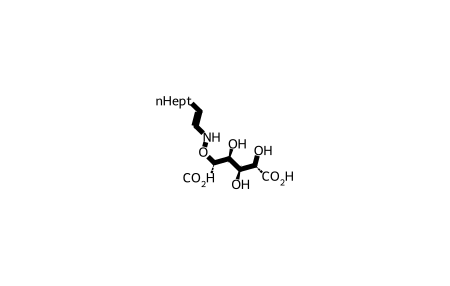 CCCCCCC/C=C/NO[C@@H](C(=O)O)[C@@H](O)[C@H](O)[C@H](O)C(=O)O